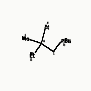 CCCCC[C]([Mo])(CC)CC